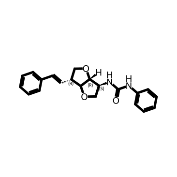 O=C(Nc1ccccc1)N[C@H]1COC2[C@H](C=Cc3ccccc3)CO[C@@H]21